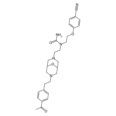 CC(=O)c1ccc(CCN2CC3CN(CCN(CCOc4ccc(C#N)cc4)C(N)=O)CC(C2)O3)cc1